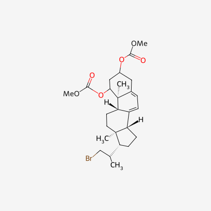 COC(=O)OC1CC2=CC=C3[C@@H]4CC[C@H](C(C)CBr)[C@@]4(C)CC[C@@H]3[C@@]2(C)C(OC(=O)OC)C1